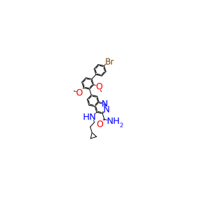 COc1ccc(-c2ccc(Br)cc2)c(OC)c1-c1ccc2c(NCCC3CC3)c(C(N)=O)nnc2c1